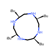 CCC(C)[C@H]1CN[C@@H](C(C)CC)CN[C@@H](C(C)CC)CN[C@@H](C(C)CC)CN1